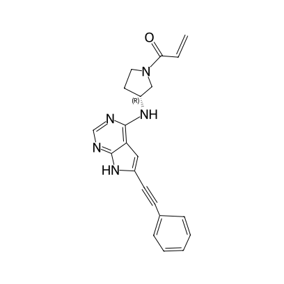 C=CC(=O)N1CC[C@@H](Nc2ncnc3[nH]c(C#Cc4ccccc4)cc23)C1